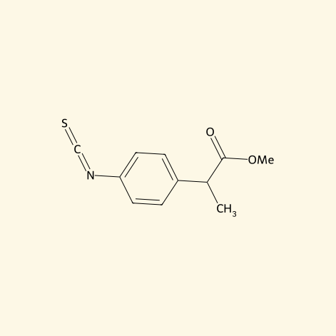 COC(=O)C(C)c1ccc(N=C=S)cc1